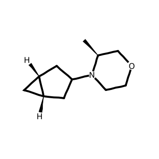 C[C@H]1COCCN1C1C[C@@H]2C[C@@H]2C1